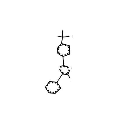 ClC(Cl)(Cl)c1ccc(-c2nc(Br)c(-c3ccccc3)o2)cc1